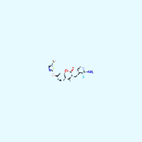 Cc1c(Cc2ccnc(N)c2F)c(=O)oc2cc(Oc3ncc(Br)s3)ccc12